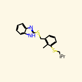 Cc1c(CSc2nc3ccccc3[nH]2)cccc1SCC(C)C